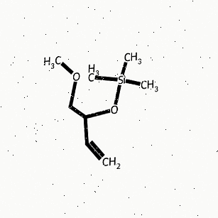 C=CC(COC)O[Si](C)(C)C